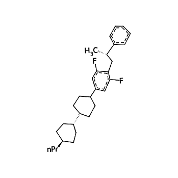 CCC[C@H]1CC[C@H](C2CCC(c3cc(F)c(C[C@H](C)c4ccccc4)c(F)c3)CC2)CC1